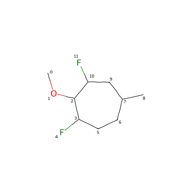 COC1C(F)CCC(C)CC1F